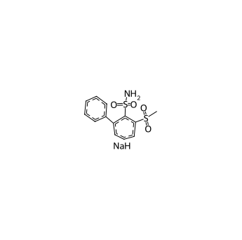 CS(=O)(=O)c1cccc(-c2ccccc2)c1S(N)(=O)=O.[NaH]